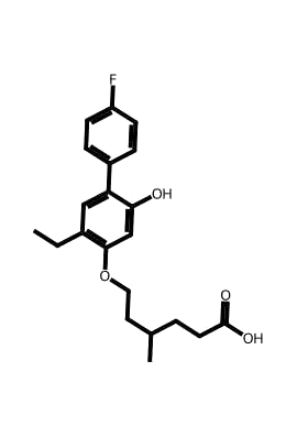 CCc1cc(-c2ccc(F)cc2)c(O)cc1OCCC(C)CCC(=O)O